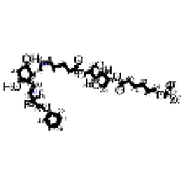 O=C(CCC/C=C\C[C@@H]1[C@@H](/C=C/C(F)(F)COc2ccccc2)[C@H](O)C[C@@H]1O)OC1CO[C@H]2[C@@H]1OC[C@H]2OC(=O)CCCCCO[N+](=O)[O-]